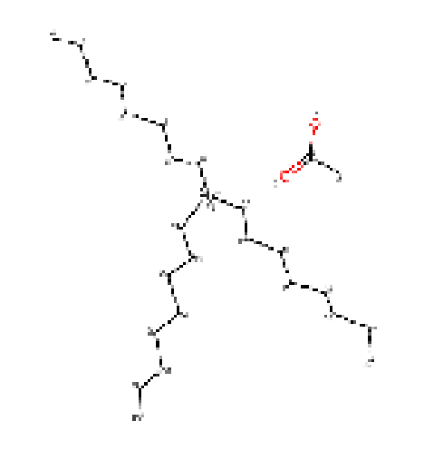 CC(=O)[O-].CCCCCCC[CH2][Pb+]([CH2]CCCCCCC)[CH2]CCCCCCC